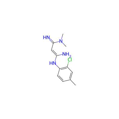 Cc1ccc(N/C(N)=C/C(=N)N(C)C)c(Cl)c1